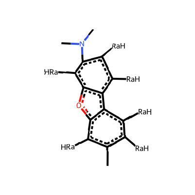 Cc1[c]([RaH])[c]([RaH])c2c(oc3[c]([RaH])c(N(C)C)[c]([RaH])[c]([RaH])c32)[c]1[RaH]